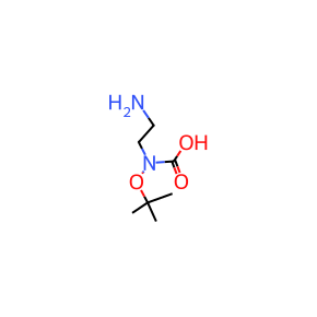 CC(C)(C)ON(CCN)C(=O)O